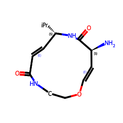 CC(C)[C@H]1/C=C/C(=O)NCCO/C=C/[C@H](N)C(=O)N1